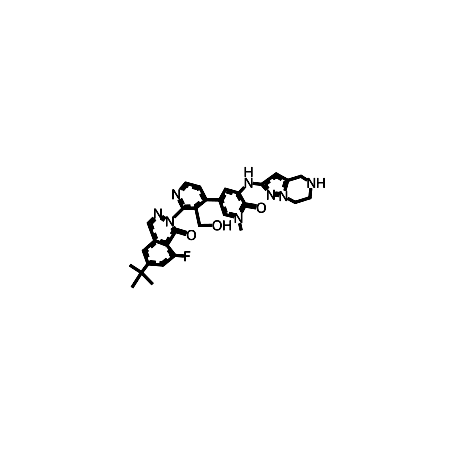 Cn1cc(-c2ccnc(-n3ncc4cc(C(C)(C)C)cc(F)c4c3=O)c2CO)cc(Nc2cc3n(n2)CCNC3)c1=O